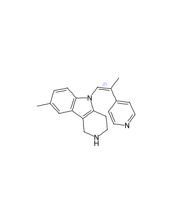 C/C(=C/n1c2c(c3cc(C)ccc31)CNCC2)c1ccncc1